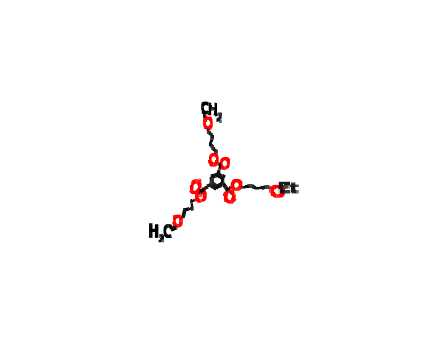 C=COCCCCOC(=O)c1cc(C(=O)OCCCCOC=C)cc(C(=O)OCCCCOCC)c1